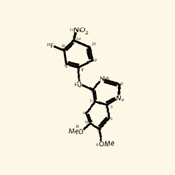 COc1cc2ncnc(Oc3ccc([N+](=O)[O-])c(F)c3)c2cc1OC